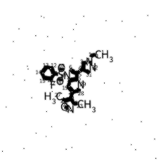 CCn1cc(-c2cn(S(=O)(=O)c3ccccc3F)c3cc(-c4c(C)noc4C)cnc23)cn1